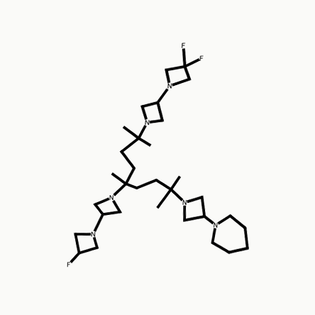 CC(C)(CCC(C)(CCC(C)(C)N1CC(N2CC(F)(F)C2)C1)N1CC(N2CC(F)C2)C1)N1CC(N2CCCCC2)C1